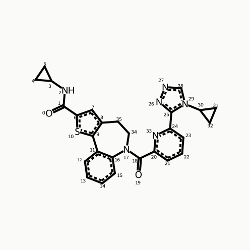 O=C(NC1CC1)c1cc2c(s1)-c1ccccc1N(C(=O)c1cccc(-c3nncn3C3CC3)n1)CC2